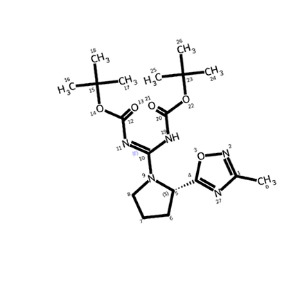 Cc1noc([C@@H]2CCCN2/C(=N/C(=O)OC(C)(C)C)NC(=O)OC(C)(C)C)n1